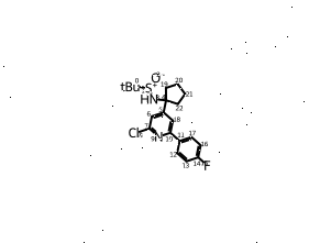 CC(C)(C)[S+]([O-])NC1(c2cc(Cl)nc(-c3ccc(F)cc3)c2)CCCC1